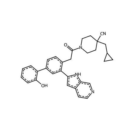 N#CC1(CC2CC2)CCN(C(=O)Cc2ccc(-c3ccccc3O)cc2-c2cc3ccncc3[nH]2)CC1